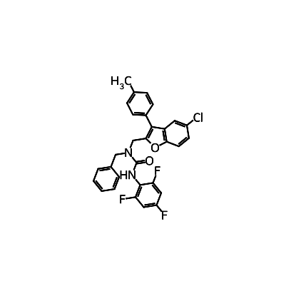 Cc1ccc(-c2c(CN(Cc3ccccc3)C(=O)Nc3c(F)cc(F)cc3F)oc3ccc(Cl)cc23)cc1